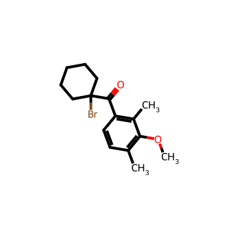 COc1c(C)ccc(C(=O)C2(Br)CCCCC2)c1C